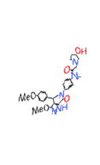 COc1ccc(C2CN(c3ccc(N(C)C(=O)CN4CCC(O)C4)cc3)C(=O)c3[nH]nc(OC)c32)cc1